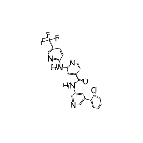 O=C(Nc1cncc(-c2ccccc2Cl)c1)c1ccnc(Nc2ccc(C(F)(F)F)cn2)c1